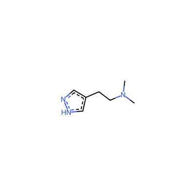 CN(C)CCc1cn[nH]c1